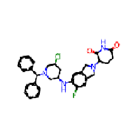 O=C1CCC(N2Cc3cc(F)c(NC4CC(Cl)CN(C(c5ccccc5)c5ccccc5)C4)cc3C2)C(=O)N1